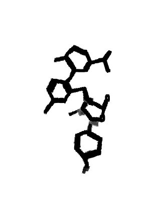 Cc1ccc(-c2cc(C(C)C)ccc2C)c(CN2C(=O)O[C@H](c3ccc(F)cc3)[C@@H]2C)c1